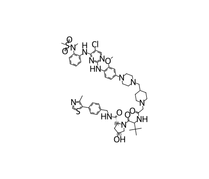 COc1cc(N2CCN(CC3CCN(CC(=O)NC(C(=O)N4C[C@H](O)C[C@@H]4C(=O)NCc4ccc(-c5scnc5C)cc4)C(C)(C)C)CC3)CC2)ccc1Nc1ncc(Cl)c(Nc2ccccc2N(C)S(C)(=O)=O)n1